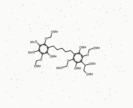 COCOc1c(CCCCCc2c(OCOC)c(OC)c(C(COC)OC)c(OCOC)c2OC)c(OC)c(OCOC)c(OC)c1OC